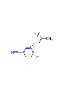 CC(C)=CC[n+]1cccc(C#N)c1.[Br-]